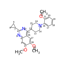 COc1cc2nc(C3CC3)nc(C3CCN(c4ccccc4OC)CC3)c2cc1OC